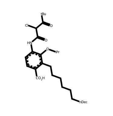 CCCCCCCCCCCCCCCCc1c(C(=O)O)ccc(NC(=O)C(Cl)C(=O)C(C)(C)C)c1OC(C)C